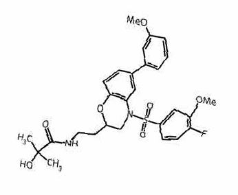 COc1cccc(-c2ccc3c(c2)N(S(=O)(=O)c2ccc(F)c(OC)c2)CC(CCNC(=O)C(C)(C)O)O3)c1